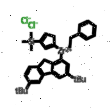 CC(C)(C)c1ccc2c(c1)-c1cc(C(C)(C)C)c[c]([Zr+2](=[CH]Cc3ccccc3)[C]3=CC([Si](C)(C)C)=CC3)c1C2.[Cl-].[Cl-]